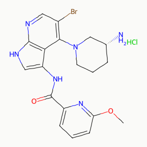 COc1cccc(C(=O)Nc2c[nH]c3ncc(Br)c(N4CCC[C@@H](N)C4)c23)n1.Cl